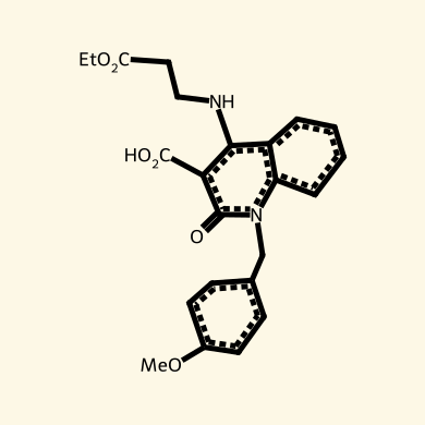 CCOC(=O)CCNc1c(C(=O)O)c(=O)n(Cc2ccc(OC)cc2)c2ccccc12